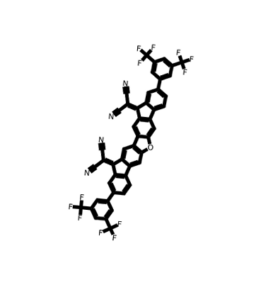 N#CC(C#N)=C1c2cc(-c3cc(C(F)(F)F)cc(C(F)(F)F)c3)ccc2-c2cc3oc4cc5c(cc4c3cc21)C(=C(C#N)C#N)c1cc(-c2cc(C(F)(F)F)cc(C(F)(F)F)c2)ccc1-5